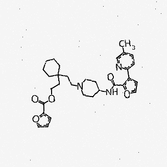 Cc1ccc(-c2ccoc2C(=O)NC2CCN(CCC3(CCOC(=O)c4ccco4)CCCCC3)CC2)nc1